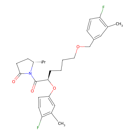 Cc1cc(COCCCC[C@@H](Oc2ccc(F)c(C)c2)C(=O)N2C(=O)CC[C@@H]2C(C)C)ccc1F